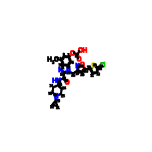 Cc1cc(OC(=O)O)cc2c1nc(C(=O)NC1CCN(C3CC3)CC1)n2Cc1cc(-c2ccc(Cl)s2)on1